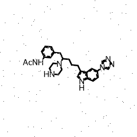 CC(=O)Nc1cccc(CC(CCCc2c[nH]c3ccc(-n4cnnc4)cc23)N2CCNCC2)c1